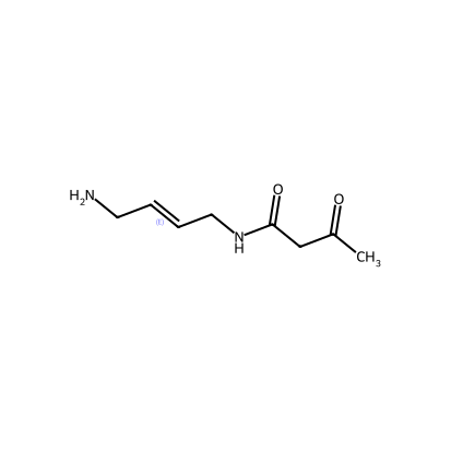 CC(=O)CC(=O)NC/C=C/CN